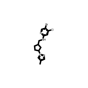 Cc1cnn(C2CCC(CNc3cc(Cl)c(Br)cn3)C2)c1